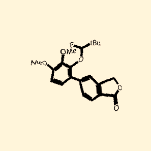 [CH2]C(C)(C)C(F)Oc1c(-c2ccc3c(c2)COC3=O)ccc(OC)c1OC